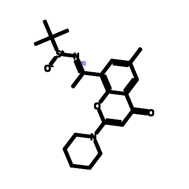 C/C(=N\[S+]([O-])C(C)(C)C)c1cc(C)cc2c(=O)cc(N3CCCCC3)oc12